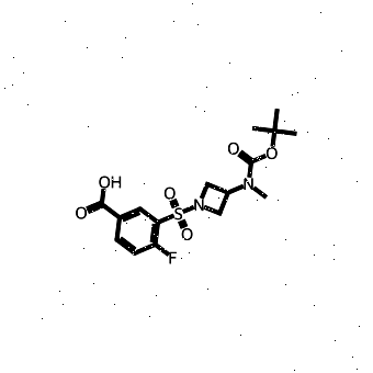 CN(C(=O)OC(C)(C)C)C1CN(S(=O)(=O)c2cc(C(=O)O)ccc2F)C1